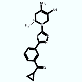 C[C@@H]1CC(N)=C(S)CN1c1nnc(-c2cccc(C(=O)C3CC3)c2)o1